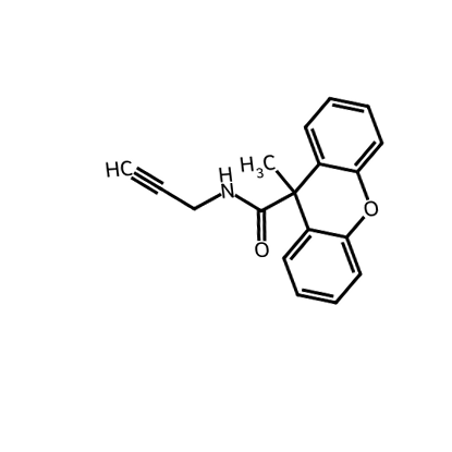 C#CCNC(=O)C1(C)c2ccccc2Oc2ccccc21